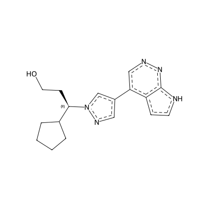 OCC[C@H](C1CCCC1)n1cc(-c2cnnc3[nH]ccc23)cn1